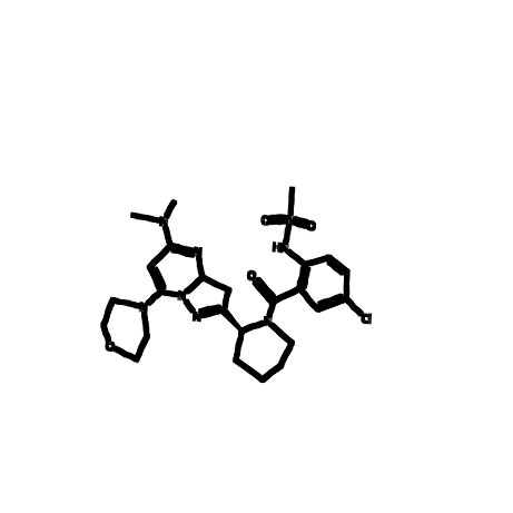 CN(C)C1=NC2CC([C@@H]3CCCCN3C(=O)c3cc(Cl)ccc3NS(C)(=O)=O)=NN2C(N2CCOCC2)=C1